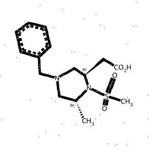 C[C@@H]1CN(Cc2ccccc2)C[C@@H](CC(=O)O)N1S(C)(=O)=O